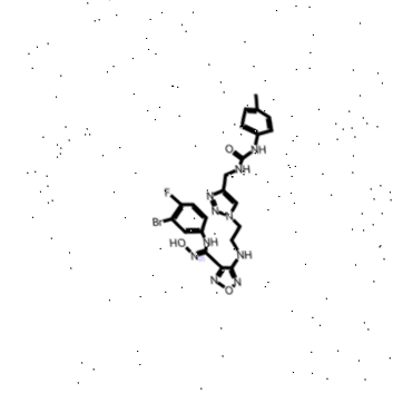 Cc1ccc(NC(=O)NCc2cn(CCNc3nonc3/C(=N/O)Nc3ccc(F)c(Br)c3)nn2)cc1